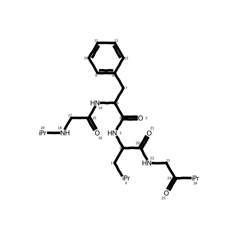 CC(C)CC(NC(=O)C(Cc1ccccc1)NC(=O)CNC(C)C)C(=O)NCC(=O)C(C)C